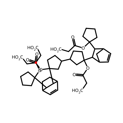 O=C(O)CC(=O)OC1(C2C3C=CC(CC3)C2C2(OC(=O)CC(=O)O)CCC(C3CCC(OC(=O)CC(=O)O)(C4C5C=CC(C5)C4C4(OC(=O)CC(=O)O)CCCC4)C3)C2)CCCC1